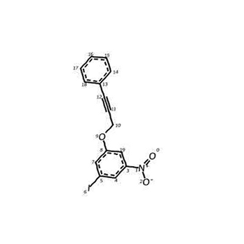 O=[N+]([O-])c1cc(I)cc(OCC#Cc2ccccc2)c1